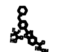 O=C(NO)c1ccc2oc(-c3ccc(CN4CCCCC4)cc3)nc2c1.O=C(O)C(F)(F)F